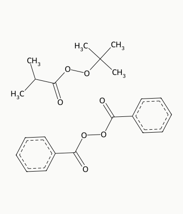 CC(C)C(=O)OOC(C)(C)C.O=C(OOC(=O)c1ccccc1)c1ccccc1